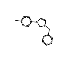 Cc1ccc(N2C=CN(Cc3ccccc3)C2)cc1